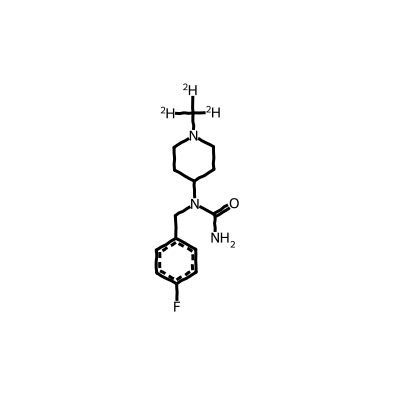 [2H]C([2H])([2H])N1CCC(N(Cc2ccc(F)cc2)C(N)=O)CC1